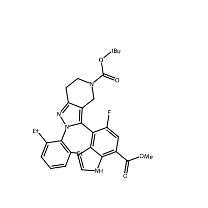 CCc1cccc(CC)c1-n1nc2c(c1-c1c(F)cc(C(=O)OC)c3[nH]ccc13)CN(C(=O)OC(C)(C)C)CC2